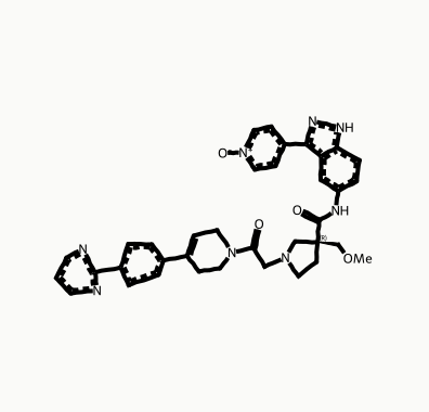 COC[C@@]1(C(=O)Nc2ccc3[nH]nc(-c4cc[n+]([O-])cc4)c3c2)CCN(CC(=O)N2CC=C(c3ccc(-c4ncccn4)cc3)CC2)C1